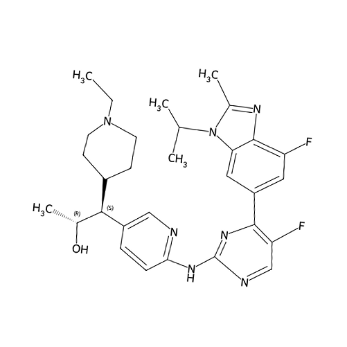 CCN1CCC([C@@H](c2ccc(Nc3ncc(F)c(-c4cc(F)c5nc(C)n(C(C)C)c5c4)n3)nc2)[C@@H](C)O)CC1